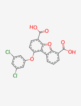 O=C(O)c1cccc2c1oc1c(C(=O)O)ccc(Oc3cc(Cl)cc(Cl)c3)c12